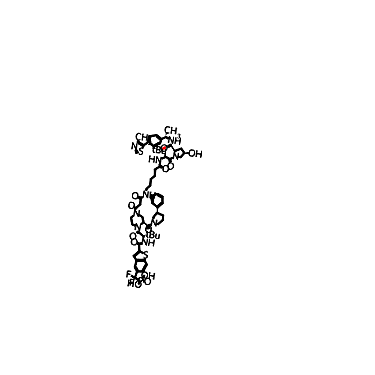 Cc1ncsc1-c1ccc([C@H](C)NC(=O)[C@H]2C[C@@H](O)CN2C(=O)[C@@H](NC(=O)CCCCCNC(=O)CC(=O)N2CCN(C(=O)[C@@H](NC(=O)c3cc4cc(C(F)(F)P(=O)(O)O)ccc4s3)C(C)(C)C)[C@H](C(=O)N3CCC[C@H](c4ccccc4)C3)C2)C(C)(C)C)cc1